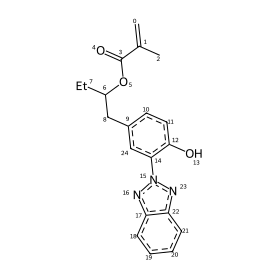 C=C(C)C(=O)OC(CC)Cc1ccc(O)c(-n2nc3ccccc3n2)c1